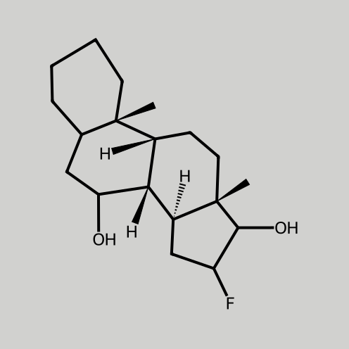 C[C@]12CCCCC1CC(O)[C@@H]1[C@H]2CC[C@]2(C)C(O)C(F)C[C@@H]12